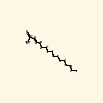 CCCCCCCCCCCCC/C=C/C(=O)Cl